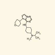 CC(C)N(C)C1CCC(Nc2ncnn3ccc(C4CCOCC4)c23)CC1